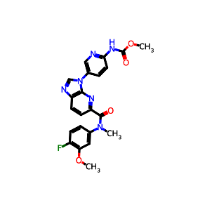 COC(=O)Nc1ccc(-n2cnc3ccc(C(=O)N(C)c4ccc(F)c(OC)c4)nc32)cn1